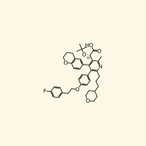 Cc1nc(CCCC2CCOCC2)c(-c2ccc(OCCc3ccc(F)cc3)cc2)c(-c2ccc3c(c2)CCCO3)c1[C@H](OC(C)(C)C)C(=O)O